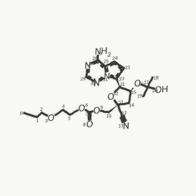 CCCOCCOC(=O)OC[C@]1(C#N)C[C@@H](OC(C)(C)O)[C@H](c2ccc3c(N)ncnn23)O1